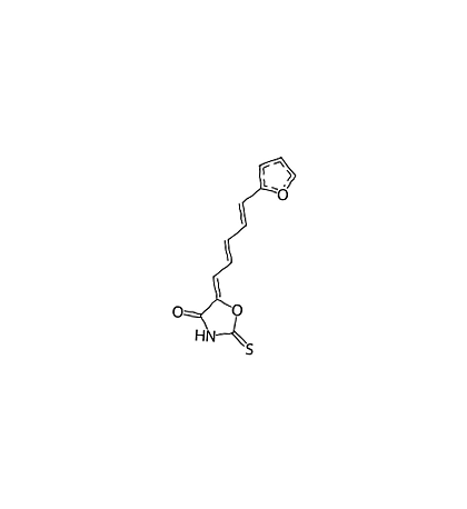 O=C1NC(=S)OC1=CC=CC=Cc1ccco1